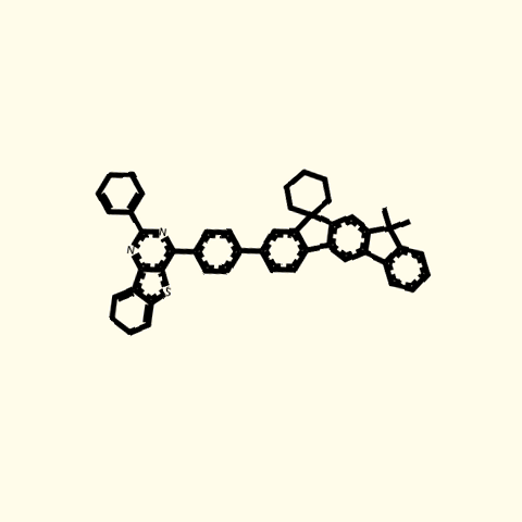 CC1(C)c2ccccc2-c2cc3c(cc21)C1(CCCCC1)c1cc(-c2ccc(-c4nc(C5=CCCC=C5)nc5c6c(sc45)=CCCC=6)cc2)ccc1-3